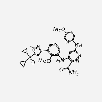 COc1ccc(Nc2cc(Nc3cccc(-c4cc(P(=O)(C5CC5)C5CC5)n(C)n4)c3OC)c(C(N)=O)nn2)nc1